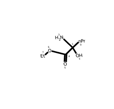 CCCC(N)(O)C(=O)OCC